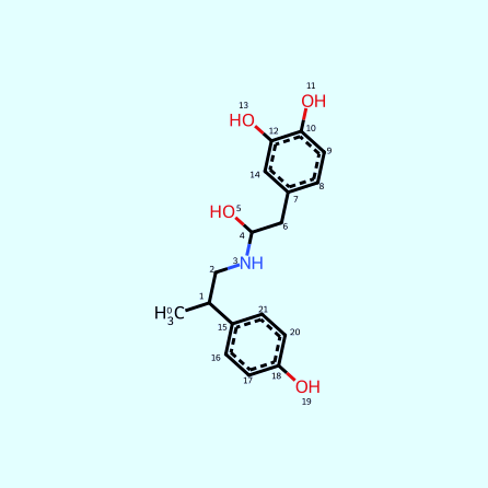 CC(CNC(O)Cc1ccc(O)c(O)c1)c1ccc(O)cc1